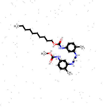 CCCCCCCCCCOC(=O)Nc1ccc(C)c(N=C=Nc2cc(NC(=O)OC)ccc2C)c1